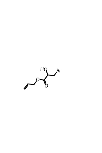 C=CCOC(=O)C(O)CBr